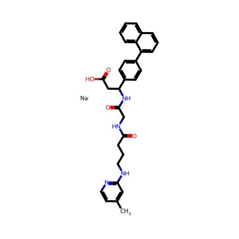 Cc1ccnc(NCCCC(=O)NCC(=O)NC(CC(=O)O)c2ccc(-c3cccc4ccccc34)cc2)c1.[Na]